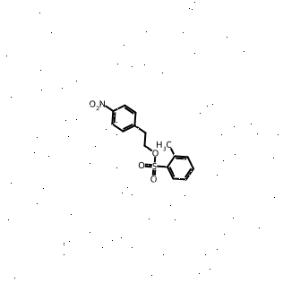 Cc1ccccc1S(=O)(=O)OCCc1ccc([N+](=O)[O-])cc1